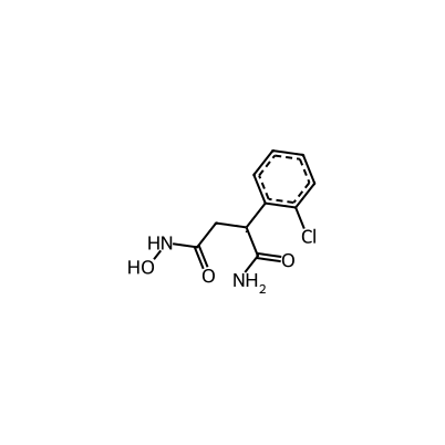 NC(=O)[C](CC(=O)NO)c1ccccc1Cl